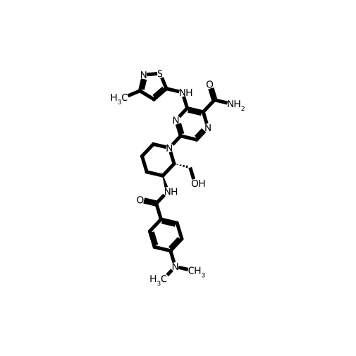 Cc1cc(Nc2nc(N3CCC[C@H](NC(=O)c4ccc(N(C)C)cc4)[C@H]3CO)cnc2C(N)=O)sn1